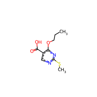 CCCOc1nc(SC)ncc1C(=O)O